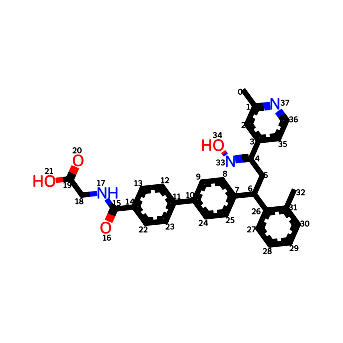 Cc1cc(C(CC(c2ccc(-c3ccc(C(=O)NCC(=O)O)cc3)cc2)c2ccccc2C)=NO)ccn1